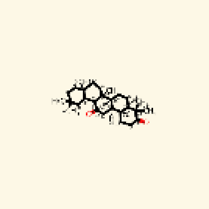 CC1(C)CC[C@]2(C=O)CC[C@]3(C)C(C(=O)C[C@@H]4[C@@]5(C)CCC(=O)C(C)(C)[C@@H]5CC[C@]43C)C2C1